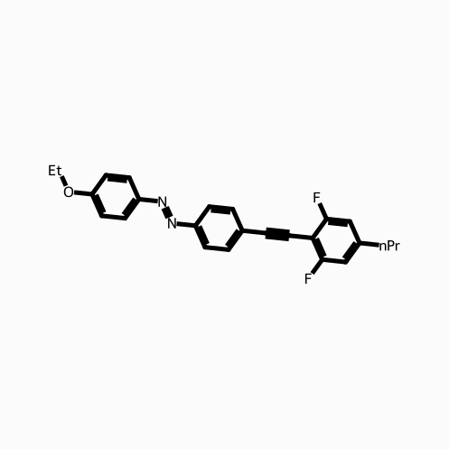 CCCc1cc(F)c(C#Cc2ccc(N=Nc3ccc(OCC)cc3)cc2)c(F)c1